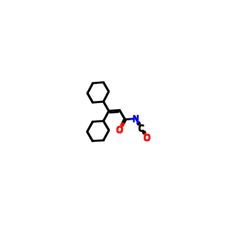 O=C=NC(=O)C=C(C1CCCCC1)C1CCCCC1